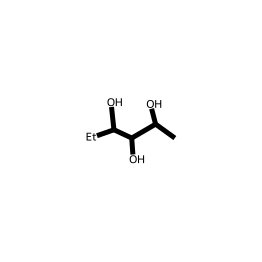 CC[C](O)C(O)C(C)O